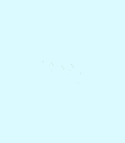 CC(C)CC(=N)N1CCN(C)CC1